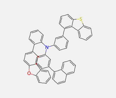 c1cc(-c2cccc3ccccc23)cc(N(c2cccc(-c3cccc4sc5ccccc5c34)c2)c2ccccc2-c2ccc3oc4ccccc4c3c2)c1